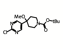 COC1(c2cnc(Cl)nc2)CCN(C(=O)OC(C)(C)C)CC1